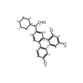 O=CN(c1ncc(-c2ccc(Cl)cc2)c(-c2ccc(Cl)cc2Cl)n1)C1CCCCC1